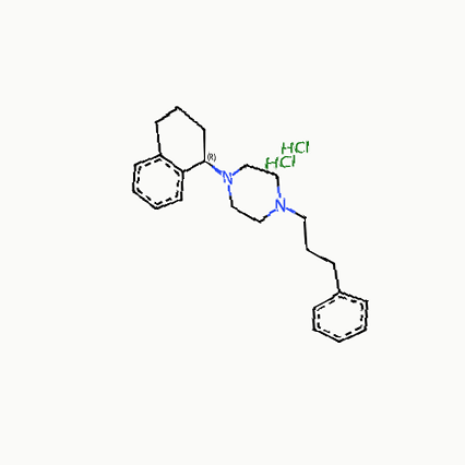 Cl.Cl.c1ccc(CCCN2CCN([C@@H]3CCCc4ccccc43)CC2)cc1